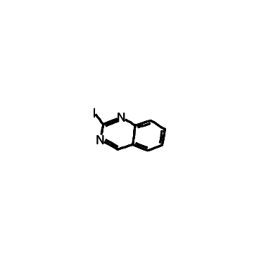 Ic1ncc2ccccc2n1